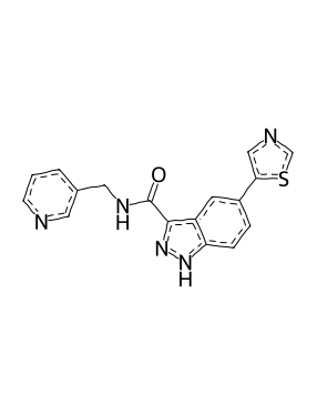 O=C(NCc1cccnc1)c1n[nH]c2ccc(-c3cncs3)cc12